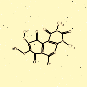 CCCSC1=C(SCCC)C(=O)c2c(c(CC)nc3c2c(=O)n(C)c(=O)n3C)C1=O